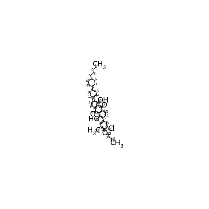 CCCCCC1CCC(c2ccc(-c3ccc4c(c3O)C(=O)c3ccc(-c5cc(C)c(OCCCC)c(Cl)c5)c(O)c3C4=O)cc2)CC1